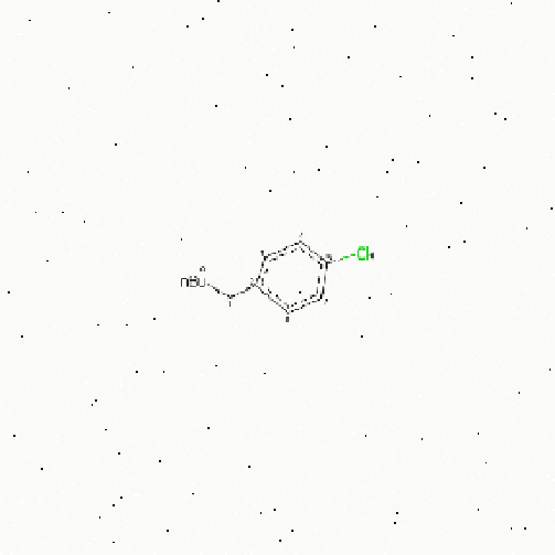 [CH2]CCCCc1ccc(Cl)cc1